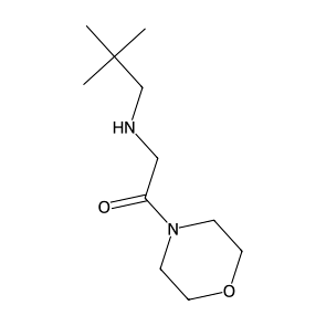 CC(C)(C)CNCC(=O)N1CCOCC1